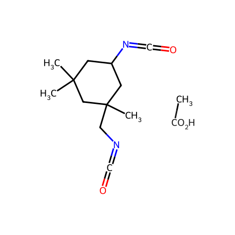 CC(=O)O.CC1(C)CC(N=C=O)CC(C)(CN=C=O)C1